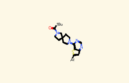 CC(=O)c1cc2ncnc(N3CCC4(CCN(C(=O)C(C)(C)C)C4)CC3)c2s1